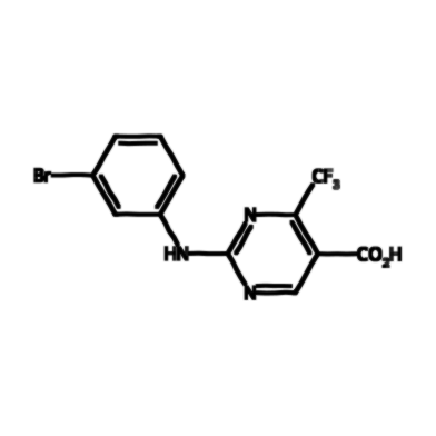 O=C(O)c1cnc(Nc2cccc(Br)c2)nc1C(F)(F)F